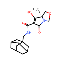 C[C@]12COCN1C(=O)C(C(=O)NCC13CC4CC(CC(C4)C1)C3)=C2O